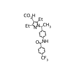 CCc1nn(C(C)c2ccc(NC(=O)c3ccc(C(F)(F)F)cc3)cc2)c(CC)c1CC(=O)O